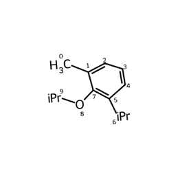 Cc1cccc(C(C)C)c1OC(C)C